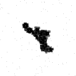 CN(C(=O)OC(C)(C)C)c1ncnc2c1ccn2[C@@H]1C[C@H](CN(CCCN(CCc2ccc(Oc3ccccc3)cc2)C(=O)OC(C)(C)C)CC[C@H](NC(=O)OC(C)(C)C)C(=O)O)[C@H]2OC(C)(C)O[C@H]21